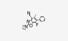 Cc1c(-c2ccccc2)c(F)c2oc(N3CCC3)nc2c1C#N